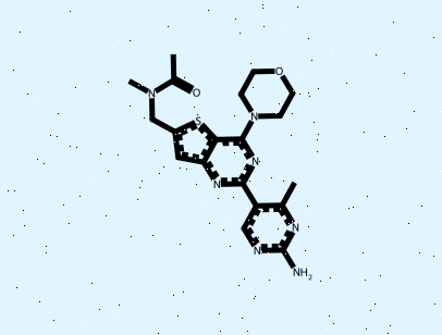 CC(=O)N(C)Cc1cc2nc(-c3cnc(N)nc3C)nc(N3CCOCC3)c2s1